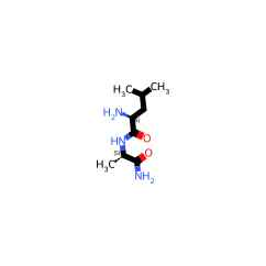 CC(C)C[C@H](N)C(=O)N[C@@H](C)C(N)=O